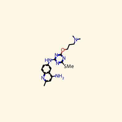 CSc1nc(Nc2ccc3nc(C)cc(N)c3c2)nc(OCCCN(C)C)n1